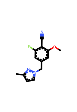 COc1cc(Cn2ccc(C)n2)cc(F)c1C#N